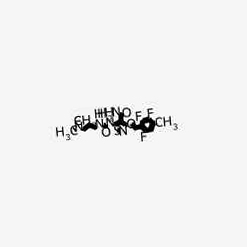 Cc1cc(F)c(COc2nsc(NC(=O)NCCCN(C)C)c2C(N)=O)c(F)c1F